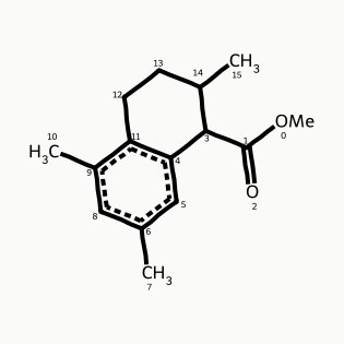 COC(=O)C1c2cc(C)cc(C)c2CCC1C